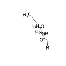 CCCCNC(=O)NNC(=O)CC#N